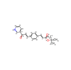 CC(C)(C)OC(=O)C=Cc1ccc(C=CC(=O)c2cccnc2)cc1